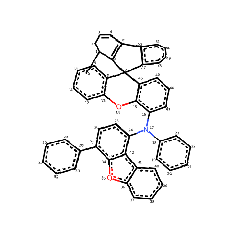 CC1CC=CC2=C1C1(c3ccccc3Oc3c(N(c4ccccc4)c4ccc(-c5ccccc5)c5oc6ccccc6c45)cccc31)c1ccccc12